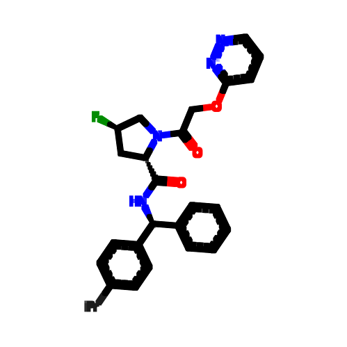 CC(C)c1ccc([C@@H](NC(=O)[C@@H]2C[C@@H](F)CN2C(=O)COc2cccnn2)c2ccccc2)cc1